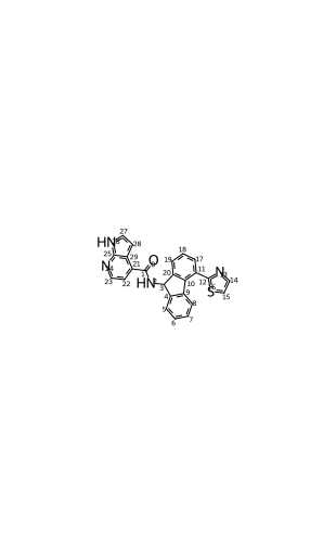 O=C(NC1c2ccccc2-c2c(-c3nccs3)cccc21)c1ccnc2[nH]ccc12